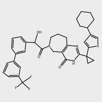 O=C(C(O)c1cccc(-c2cccc(C(F)(F)F)c2)c1)N1CCCc2nc(C3(c4cc(C5CCCCC5)cs4)CC3)[nH]c(=O)c2C1